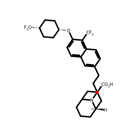 O=C(O)C1CC2CCC[C@@H](C1)N2CCCc1ccc2c(C(F)(F)F)c(O[C@H]3CC[C@@H](C(F)(F)F)CC3)ccc2c1